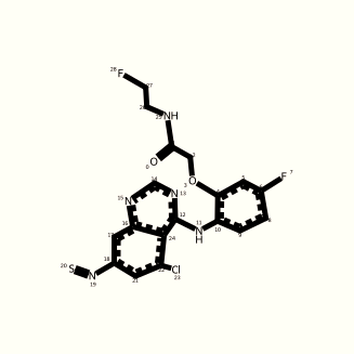 O=C(COc1cc(F)ccc1Nc1ncnc2cc(N=S)cc(Cl)c12)NCCF